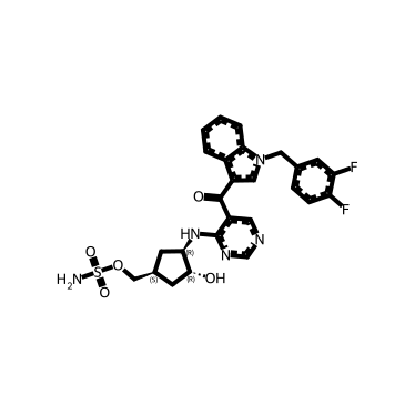 NS(=O)(=O)OC[C@@H]1C[C@@H](O)[C@H](Nc2ncncc2C(=O)c2cn(Cc3ccc(F)c(F)c3)c3ccccc23)C1